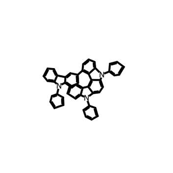 c1ccc(-n2c3ccccc3c3cc(-c4cccc5c4c4c6c7ccccc7n(-c7ccccc7)c6ccc4n5-c4ccccc4)ccc32)cc1